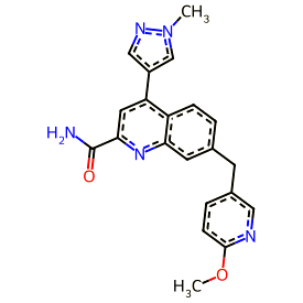 COc1ccc(Cc2ccc3c(-c4cnn(C)c4)cc(C(N)=O)nc3c2)cn1